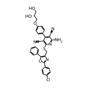 N#Cc1c(N)nc(SCc2nc(-c3ccc(Cl)cc3)oc2-c2ccccc2)c(C#N)c1-c1ccc(OC[C@H](O)CO)cc1